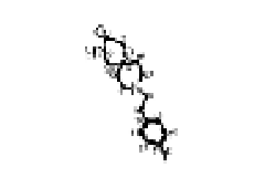 O=C1COC2(CCN(CCc3ccc(F)cc3)CC2)CN1